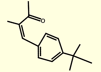 CC(=O)C(C)=Cc1ccc(C(C)(C)C)cc1